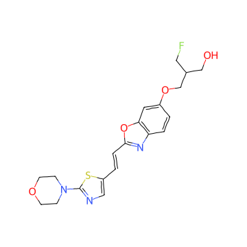 OCC(CF)COc1ccc2nc(/C=C/c3cnc(N4CCOCC4)s3)oc2c1